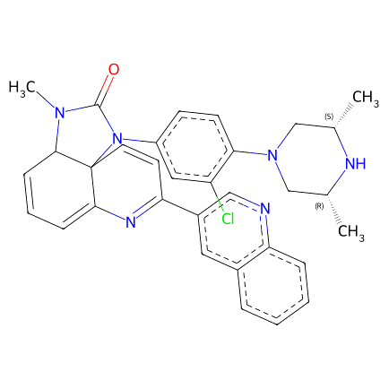 C[C@@H]1CN(c2ccc(N3C(=O)N(C)C4C=CC=C5N=C(c6cnc7ccccc7c6)C=CC543)cc2Cl)C[C@H](C)N1